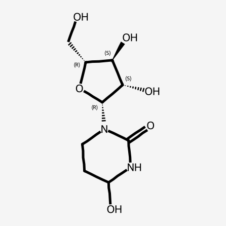 O=C1NC(O)CCN1[C@@H]1O[C@H](CO)[C@@H](O)[C@@H]1O